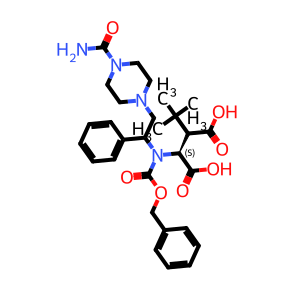 CC(C)(C)C(C(=O)O)[C@@H](C(=O)O)N(C(=O)OCc1ccccc1)C(CN1CCN(C(N)=O)CC1)c1ccccc1